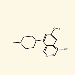 COc1cc(N2CCN(C)CC2)c2cncc(C(C)C)c2c1